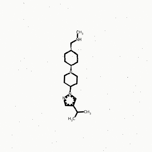 CNC[C@H]1CC[C@@H](N2CCC(n3cc(C(C)C)cn3)CC2)CC1